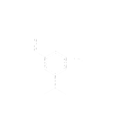 C.C=Cc1cccc(C(C)C)c1